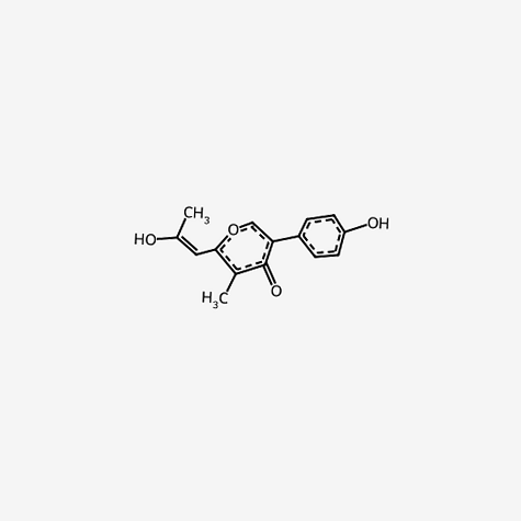 C/C(O)=C\c1occ(-c2ccc(O)cc2)c(=O)c1C